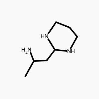 CC(N)CC1NCCCN1